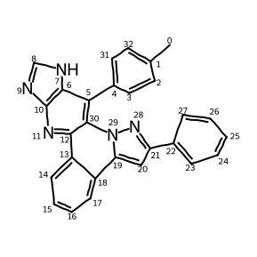 Cc1ccc(-c2c3[nH]cnc3nc3c4ccccc4c4cc(-c5ccccc5)nn4c23)cc1